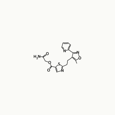 Cc1onc(-c2ccccn2)c1CCc1ncc(C(=O)OCC(N)=O)s1